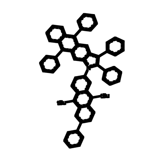 CC(C)(C)c1c2ccc(-n3c(-c4ccccc4)c(-c4ccccc4)c4cc5c(-c6ccccc6)c6ccccc6c(-c6ccccc6)c5cc43)cc2c(C(C)(C)C)c2ccc(-c3ccccc3)cc12